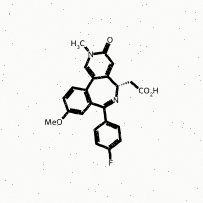 COc1ccc2c(c1)C(c1ccc(F)cc1)=N[C@@H](CC(=O)O)c1cc(=O)n(C)cc1-2